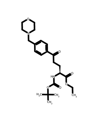 CCOC(=O)[C@H](CCC(=O)c1ccc(CN2CCOCC2)cc1)NC(=O)OC(C)(C)C